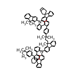 CC(C)(C)c1ccc(-c2ccccc2-c2ccccc2N(c2ccc3c(c2)C(C)(CCC(C)(C)c2ccc(-c4ccccc4-c4ccccc4N(c4ccc5c(c4)C(C)(C)c4ccccc4-5)c4ccc5c(c4)C4(CC6CCC(C6)C4)c4ccccc4-5)cc2)c2ccccc2-3)c2ccc3c(c2)C2(CCCCC2)c2ccccc2-3)cc1